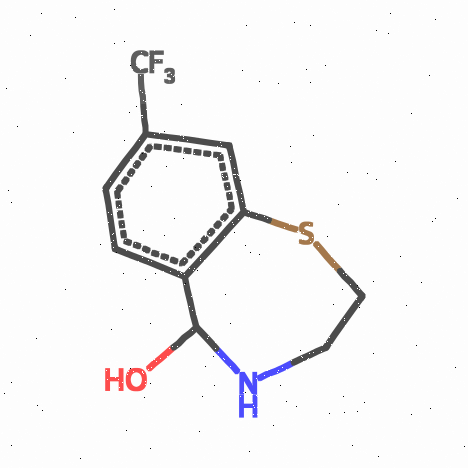 OC1NCCSc2cc(C(F)(F)F)ccc21